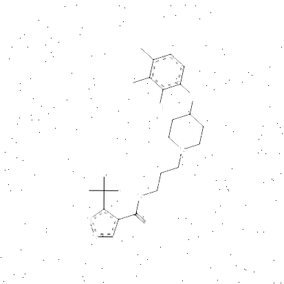 Cc1c(Cl)ccc(OC2CCN(CCCNC(=O)c3cn[nH]c3C(F)(F)F)CC2)c1Cl